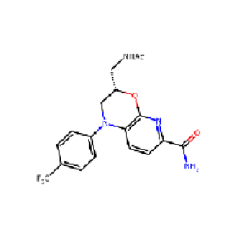 CC(=O)NC[C@H]1CN(c2ccc(C(F)(F)F)cc2)c2ccc(C(N)=O)nc2O1